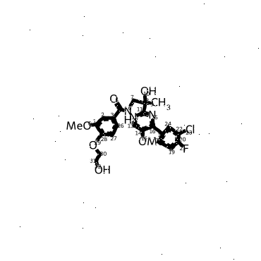 COc1cc(C(=O)NCC(C)(O)c2ncc(OC)c(-c3ccc(F)c(Cl)c3)n2)ccc1OCCO